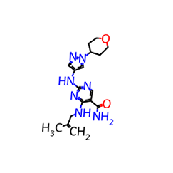 C=C(C)CNc1nc(Nc2cnn(C3CCOCC3)c2)ncc1C(N)=O